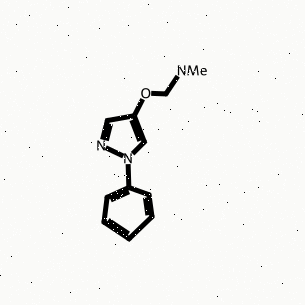 CNCOc1cnn(-c2ccccc2)c1